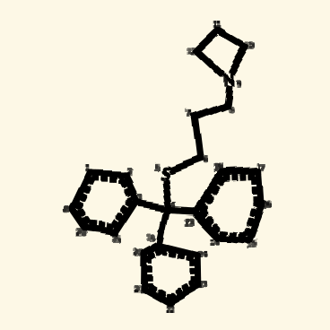 c1ccc(C(SCCCN2CCC2)(c2ccccc2)c2ccccc2)cc1